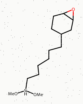 CO[SiH](CCCCCCC1CCC2OC2C1)OC